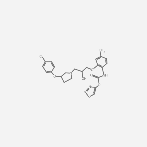 Cc1ccc(NC(=O)Oc2csnn2)c(OCC(O)CN2CCC(Oc3ccc(Cl)cc3)C2)c1